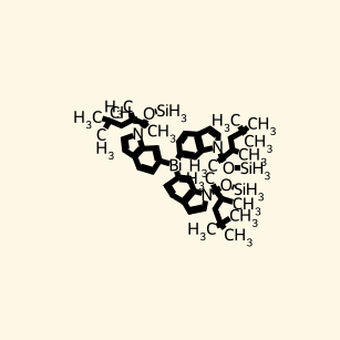 CC(CC(C)(C)C)C(C)(O[SiH3])n1ccc2cc[c]([Bi]([c]3ccc4ccn(C(C)(O[SiH3])C(C)CC(C)(C)C)c4c3)[c]3ccc4ccn(C(C)(O[SiH3])C(C)CC(C)(C)C)c4c3)cc21